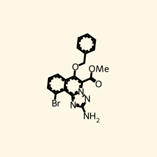 COC(=O)c1c(OCc2ccccc2)c2cccc(Br)c2c2nc(N)nn12